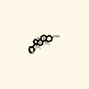 CO[C@H]1CC[C@@]2(C)C(CC[C@@H]3[C@@H]2CC[C@]2(C)C(c4cccnc4)=CC[C@@H]32)C1